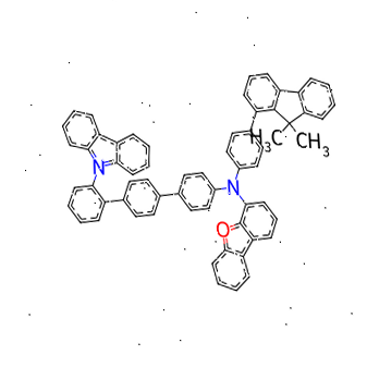 CC1(C)c2ccccc2-c2cccc(-c3ccc(N(c4ccc(-c5ccc(-c6ccccc6-n6c7ccccc7c7ccccc76)cc5)cc4)c4cccc5c4oc4ccccc45)cc3)c21